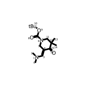 CN(C)/C=C1\CN(C(=O)OC(C)(C)C)CC(C)(C)C1=O